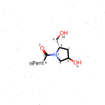 CCCCCC(=O)N1CC(O)C[C@H]1CO